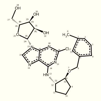 Cc1cccc(CO[C@H]2CCC[C@@H]2Nc2nc(Cl)nc3c2ncn3[C@@H]2O[C@H](CO)[C@@H](O)[C@H]2O)c1